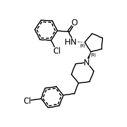 O=C(N[C@@H]1CCC[C@H]1N1CCC(Cc2ccc(Cl)cc2)CC1)c1ccccc1Cl